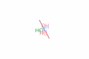 CCCCCCCCCC(O)CNCCCCCCNCC(O)CCCCCCCCC.Cl.Cl